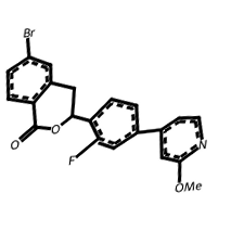 COc1cc(-c2ccc(C3Cc4cc(Br)ccc4C(=O)O3)c(F)c2)ccn1